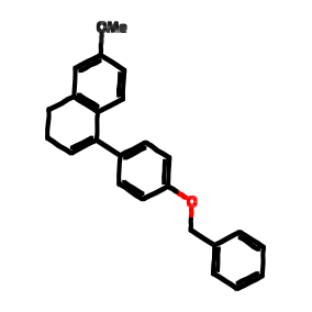 COc1ccc2c(c1)CCC=C2c1ccc(OCc2ccccc2)cc1